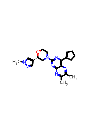 Cc1nc2nc(N3CCO[C@@H](c4cnn(C)c4)C3)nc(C3=CCCC3)c2nc1C